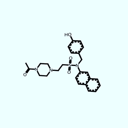 CC(=O)N1CCN(CCS(=O)(=O)N(Cc2ccc(O)cc2)c2ccc3ccccc3c2)CC1